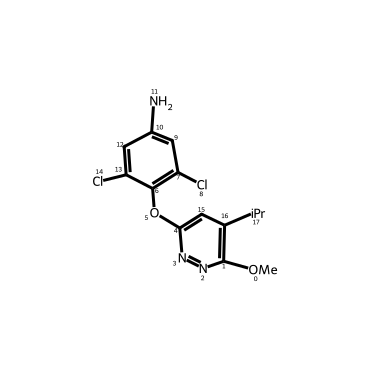 COc1nnc(Oc2c(Cl)cc(N)cc2Cl)cc1C(C)C